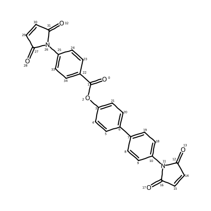 O=C(Oc1ccc(-c2ccc(N3C(=O)C=CC3=O)cc2)cc1)c1ccc(N2C(=O)C=CC2=O)cc1